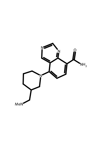 CNCC1CCCN(c2ccc(C(N)=O)c3ncncc23)C1